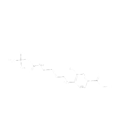 COC(=O)c1cnc(NC/C=C/CNC(=O)OC(C)(C)C)c(Br)n1